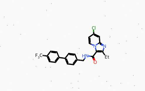 CCc1nc2cc(Cl)ccn2c1C(=O)NCc1ccc(-c2ccc(C(F)(F)F)cc2)cc1